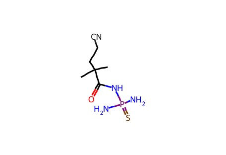 CC(C)(CCC#N)C(=O)NP(N)(N)=S